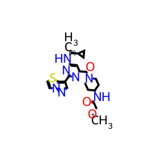 COCC(=O)NC1CCN(C(=O)c2cc(N[C@H](C)C3CC3)nc(-c3cnn4ccsc34)n2)CC1